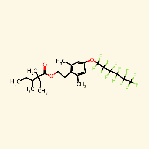 CCC(C)C(C)(CC)C(=O)OCCc1c(C)cc(OC(F)(F)C(F)(F)C(F)(F)C(F)(F)C(F)(F)C(F)(F)F)cc1C